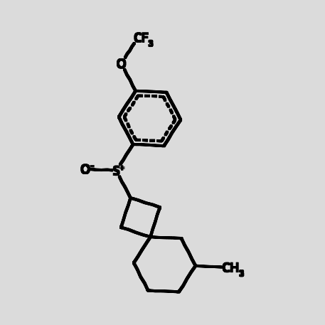 CC1CCCC2(C1)CC([S+]([O-])c1cccc(OC(F)(F)F)c1)C2